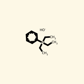 CC[P+](CC)(CC)c1ccccc1.[OH-]